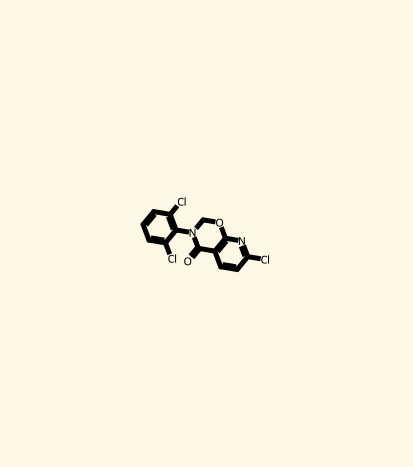 O=C1c2ccc(Cl)nc2OCN1c1c(Cl)cccc1Cl